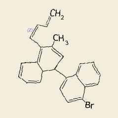 C=C/C=C\C1=C2C=CC=CC2C(c2ccc(Br)c3ccccc23)C=C1C